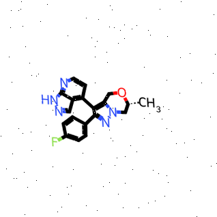 C[C@@H]1Cn2nc(-c3ccc(F)cc3)c(-c3ccnc4[nH]ncc34)c2CO1